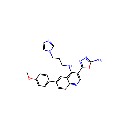 COc1ccc(-c2ccc3ncc(-c4nnc(N)o4)c(NCCCn4ccnc4)c3c2)cc1